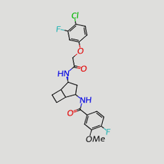 COc1cc(C(=O)NC2C[C@H](NC(=O)COc3ccc(Cl)c(F)c3)C3CCC23)ccc1F